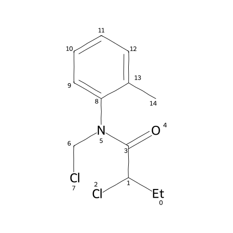 CCC(Cl)C(=O)N(CCl)c1ccccc1C